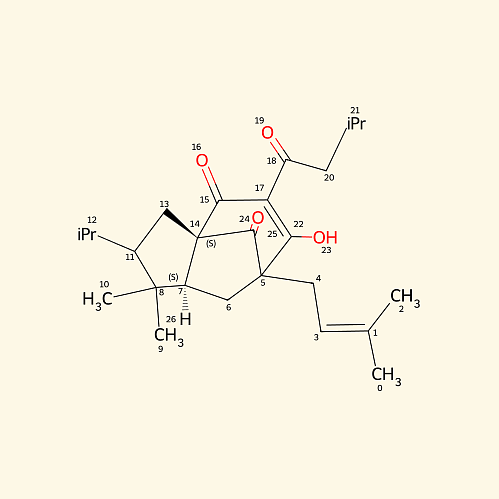 CC(C)=CCC12C[C@H]3C(C)(C)C(C(C)C)C[C@@]3(C(=O)C(C(=O)CC(C)C)=C1O)C2=O